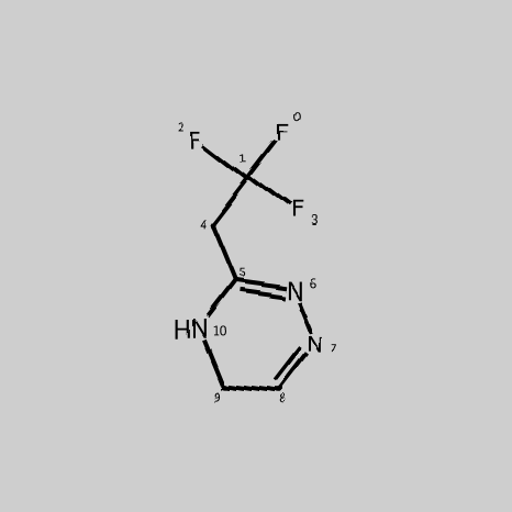 FC(F)(F)CC1=NN=CCN1